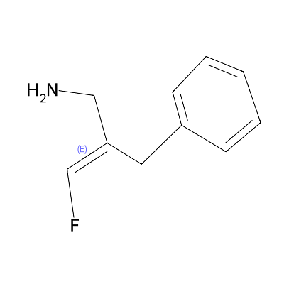 NC/C(=C/F)Cc1ccccc1